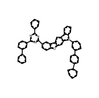 c1ccc(-c2ccc(-c3cccc(-n4c5ccccc5c5cc6c(cc54)oc4ccc(-c5nc(-c7ccccc7)nc(-c7cccc(-c8ccccc8)c7)n5)cc46)c3)cc2)cc1